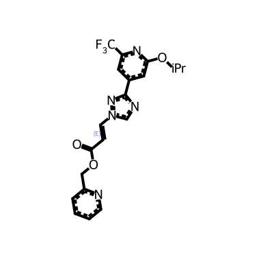 CC(C)Oc1cc(-c2ncn(/C=C/C(=O)OCc3ccccn3)n2)cc(C(F)(F)F)n1